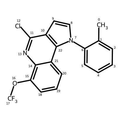 Cc1ccccc1-n1ccc2c(Cl)nc3c(OC(F)(F)F)cccc3c21